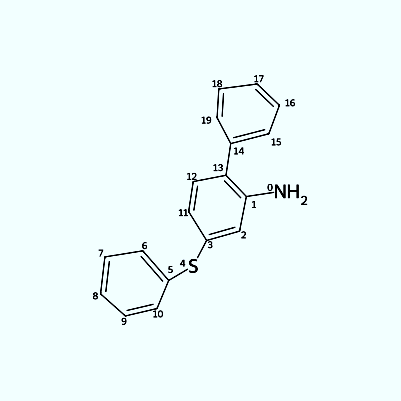 Nc1cc(Sc2ccccc2)ccc1-c1ccccc1